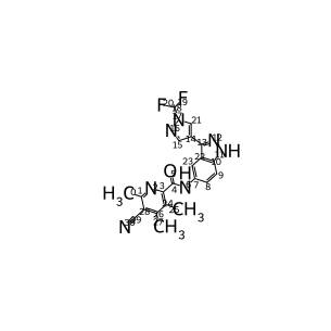 Cc1nc(C(=O)Nc2ccc3[nH]nc(-c4cnn(C(F)F)c4)c3c2)c(C)c(C)c1C#N